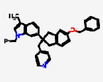 Cc1cn(CC(C)C)c2cc(C3(Cc4ccncc4)Cc4ccc(OCc5ccccc5)cc4C3)ccc12